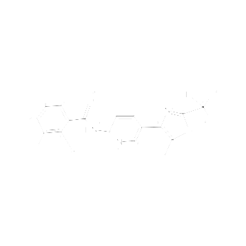 Cc1oc(C(F)(F)F)nc1-c1ccc(NC(=O)c2cccc(F)c2C)nc1